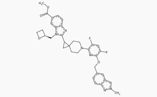 COC(=O)c1ccc2nc(C3CC34CCN(c3nc(OCc5ccc6nn(C)cc6c5)c(F)cc3F)CC4)n(C[C@@H]3CCO3)c2c1